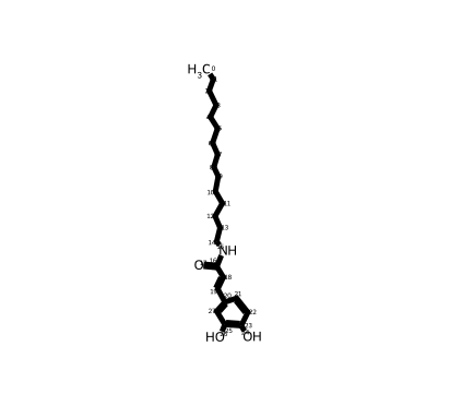 CCCCCCCCCCCCCCCNC(=O)C=Cc1ccc(O)c(O)c1